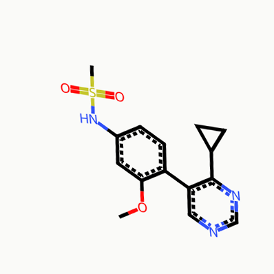 COc1cc(NS(C)(=O)=O)ccc1-c1cncnc1C1CC1